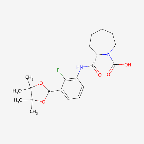 CC1(C)OB(c2cccc(NC(=O)[C@@H]3CCCCCN3C(=O)O)c2F)OC1(C)C